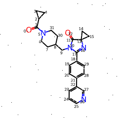 O=C(C1CC1)N1CCC(CN2C(=O)C3(CC3)N=C2c2ccc(-c3cccnc3)cc2)CC1